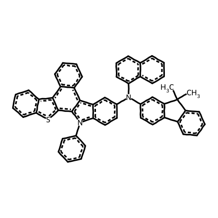 CC1(C)c2ccccc2-c2ccc(N(c3ccc4c(c3)c3c5ccccc5c5c6ccccc6sc5c3n4-c3ccccc3)c3cccc4ccccc34)cc21